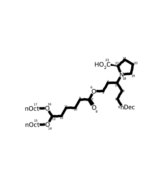 CCCCCCCCCCCCC(CCOC(=O)CCCCC(OCCCCCCCC)OCCCCCCCC)N1CCC[C@@H]1C(=O)O